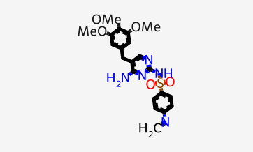 C=Nc1ccc(S(=O)(=O)Nc2ncc(Cc3cc(OC)c(OC)c(OC)c3)c(N)n2)cc1